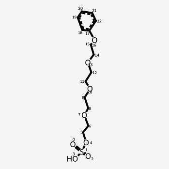 O=S(=O)(O)OCCOCCOCCOCCOc1ccccc1